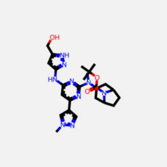 CN(c1nc(Nc2cc(CO)[nH]n2)cc(-c2cnn(C)c2)n1)C1CC2CCC(C1)N2C(=O)OC(C)(C)C